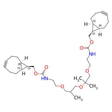 CC(COCCNC(=O)OC[C@@H]1[C@@H]2CCC#CCC[C@@H]21)COC(C)(C)COCCNC(=O)OC[C@@H]1[C@@H]2CCC#CCC[C@@H]21